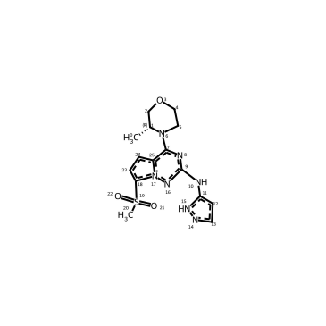 C[C@@H]1COCCN1c1nc(Nc2ccn[nH]2)nn2c(S(C)(=O)=O)ccc12